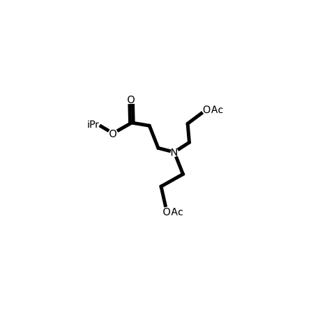 CC(=O)OCCN(CCOC(C)=O)CCC(=O)OC(C)C